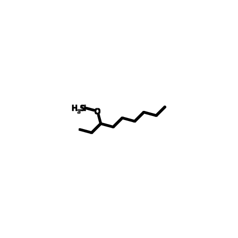 CCCCCCC(CC)O[SiH3]